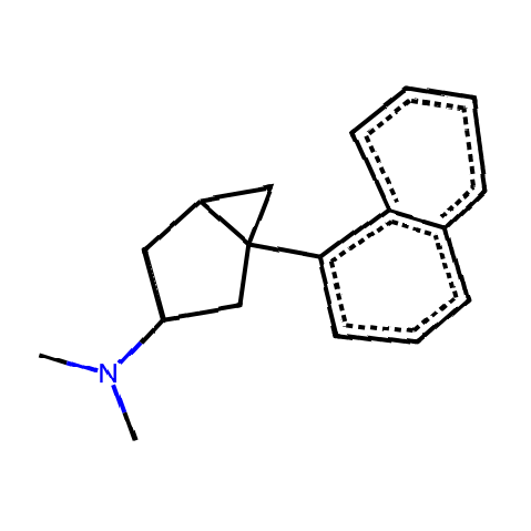 CN(C)C1CC2CC2(c2cccc3ccccc23)C1